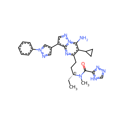 CC[C@H](CCc1nc2c(-c3cnn(-c4ccccc4)c3)cnn2c(N)c1C1CC1)N(C)C(=O)c1nnc[nH]1